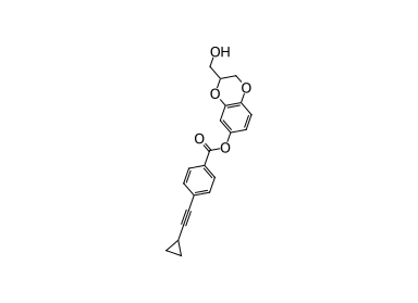 O=C(Oc1ccc2c(c1)OC(CO)CO2)c1ccc(C#CC2CC2)cc1